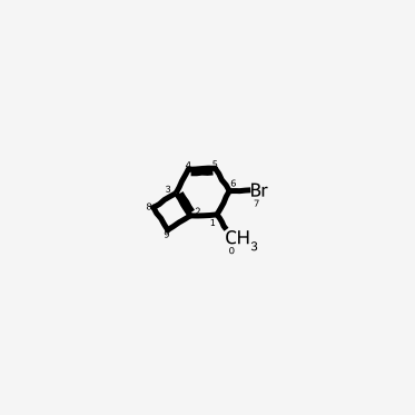 CC1C2=C(C=CC1Br)CC2